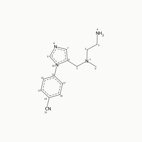 CN(CCN)Cc1cncn1-c1ccc(C#N)cc1